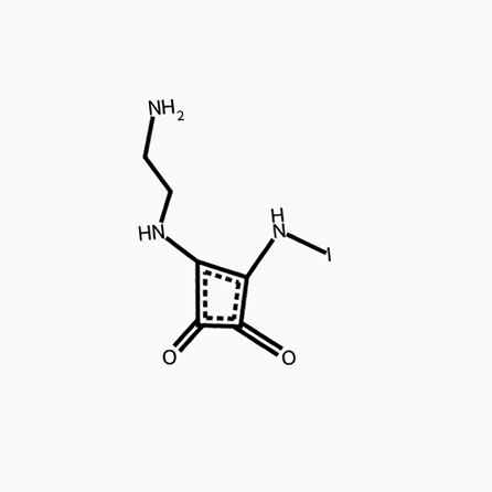 NCCNc1c(NI)c(=O)c1=O